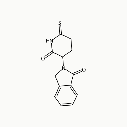 O=C1NC(=S)CCC1N1Cc2ccccc2C1=O